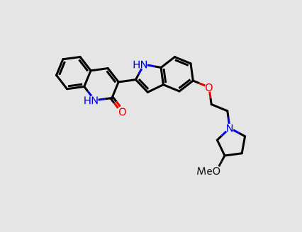 COC1CCN(CCOc2ccc3[nH]c(-c4cc5ccccc5[nH]c4=O)cc3c2)C1